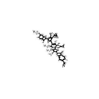 Bc1c(-c2sc3cc(C#N)ccc3c2I)sc(C2(CC3(C)CC3)C=C(C)C(c3sc(-c4sc5cc(C)ccc5c4I)c(B)c3C3CC3)=CC2)c1C